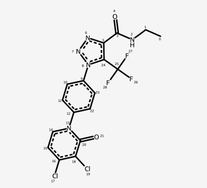 CCNC(=O)c1nnn(-c2ccc(-n3ccc(Cl)c(Cl)c3=O)cc2)c1C(F)(F)F